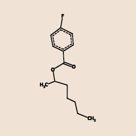 CCCCCC(C)OC(=O)c1ccc(F)cc1